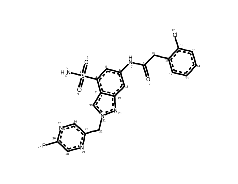 NS(=O)(=O)c1cc(NC(=O)Cc2ccccc2Cl)cc2nn(Cc3cnc(F)cn3)cc12